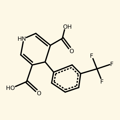 O=C(O)C1=CNC=C(C(=O)O)C1c1cccc(C(F)(F)F)c1